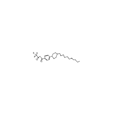 CCCCCCCCCCCC1CCC(c2ccc(C(=O)CC(=O)C(F)(F)F)cc2)CC1